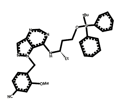 CC[C@@H](CCO[Si](c1ccccc1)(c1ccccc1)C(C)(C)C)Nc1n[c]nc2cnn(Cc3ccc(C#N)cc3OC)c12